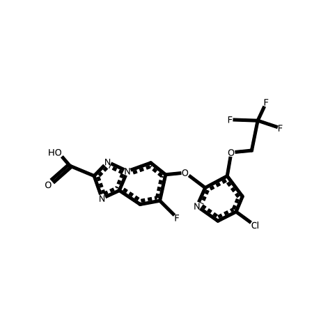 O=C(O)c1nc2cc(F)c(Oc3ncc(Cl)cc3OCC(F)(F)F)cn2n1